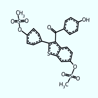 CS(=O)(=O)Oc1ccc(-c2sc3cc(OS(C)(=O)=O)ccc3c2C(=O)c2ccc(O)cc2)cc1